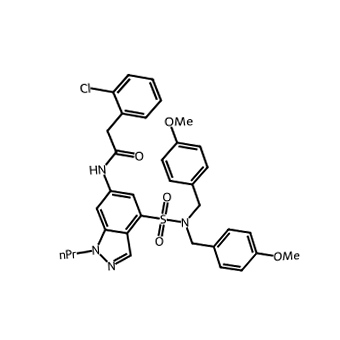 CCCn1ncc2c(S(=O)(=O)N(Cc3ccc(OC)cc3)Cc3ccc(OC)cc3)cc(NC(=O)Cc3ccccc3Cl)cc21